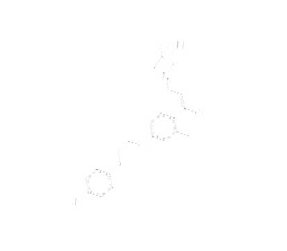 Cc1cc(OC[C@@H](C)Cc2ccc(F)cc2)ccc1/C(Cl)=C\CN1CC(C(=O)O)C1